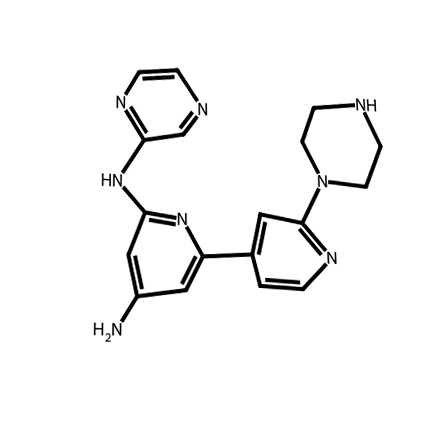 Nc1cc(Nc2cnccn2)nc(-c2ccnc(N3CCNCC3)c2)c1